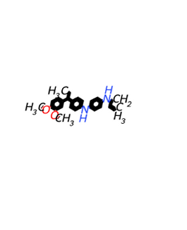 C=C(/C=C\C)Nc1ccc(Nc2ccc(C(CC)c3ccc(OC)c(OC)c3)cc2)cc1